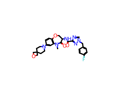 CN1C(=O)C(NC(=O)c2ncn(Cc3ccc(F)cc3)n2)COc2ccc(N3CCC4(CC3)COC4)cc21